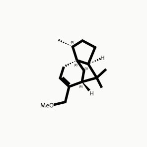 COCC1=CC[C@@]23C[C@@H]1C(C)(C)[C@@H]2CC[C@H]3C